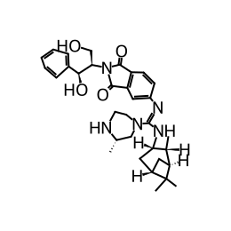 C[C@H]1[C@@H](NC(=Nc2ccc3c(c2)C(=O)N([C@H](CO)[C@@H](O)c2ccccc2)C3=O)N2CCN[C@@H](C)C2)C[C@@H]2C[C@@H]1C2(C)C